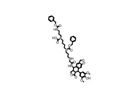 COc1cc(C2c3cc4c(cc3C(NC(=O)CNCCCN(CCCCN(CCCNC(=O)OCc3ccccc3)C(=O)O)C(=O)OCc3ccccc3)C3COC(=O)C23)COO4)cc(OC)c1O